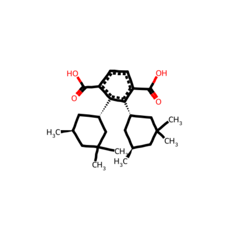 C[C@H]1C[C@H](c2c(C(=O)O)ccc(C(=O)O)c2[C@H]2C[C@H](C)CC(C)(C)C2)CC(C)(C)C1